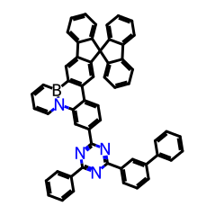 C1=CB2c3cc4c(cc3-c3ccc(-c5nc(-c6ccccc6)nc(-c6cccc(-c7ccccc7)c6)n5)cc3N2C=C1)C1(c2ccccc2-c2ccccc21)c1ccccc1-4